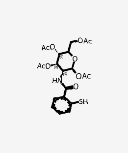 CC(=O)OCC1OC(OC(C)=O)[C@@H](NC(=O)c2ccccc2S)[C@@H](OC(C)=O)[C@@H]1OC(C)=O